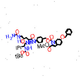 COC(=O)c1cc2ccc(OCc3ccccc3)cc2n1C(=O)OCc1ccc(NC(=O)C(CCCNC(N)=O)NC(=O)C(NC(=O)OC(C)(C)C)C(C)C)cc1